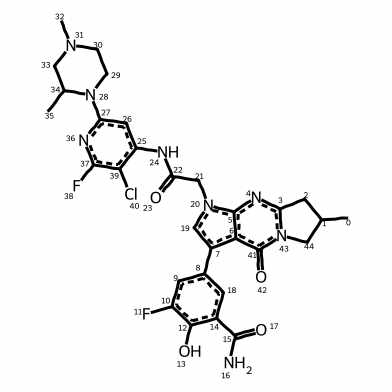 CC1Cc2nc3c(c(-c4cc(F)c(O)c(C(N)=O)c4)cn3CC(=O)Nc3cc(N4CCN(C)CC4C)nc(F)c3Cl)c(=O)n2C1